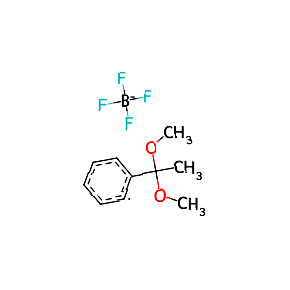 COC(C)(OC)c1[c]cccc1.F[B-](F)(F)F